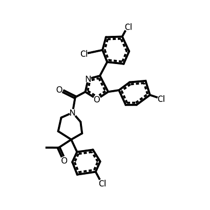 CC(=O)C1(c2ccc(Cl)cc2)CCN(C(=O)c2nc(-c3ccc(Cl)cc3Cl)c(-c3ccc(Cl)cc3)o2)CC1